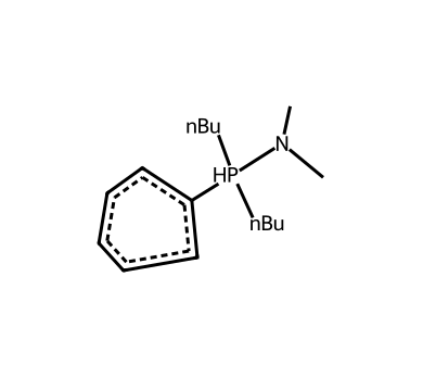 CCCC[PH](CCCC)(c1ccccc1)N(C)C